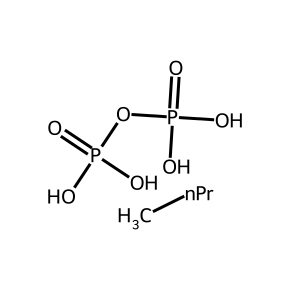 CCCC.O=P(O)(O)OP(=O)(O)O